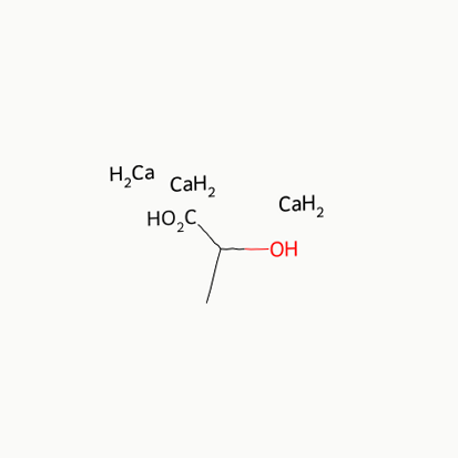 CC(O)C(=O)O.[CaH2].[CaH2].[CaH2]